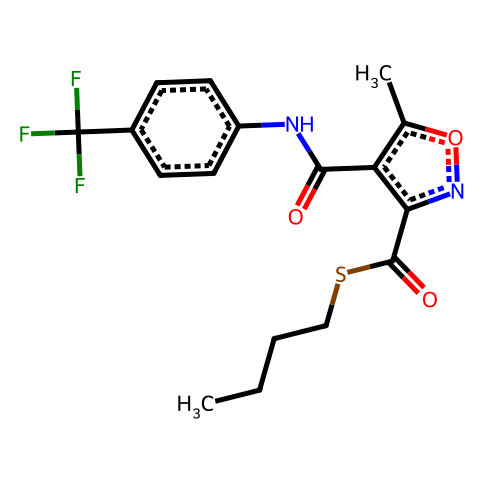 CCCCSC(=O)c1noc(C)c1C(=O)Nc1ccc(C(F)(F)F)cc1